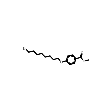 COC(=O)c1ccc(OCCCCCCCCBr)cc1